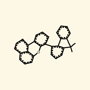 CC1(C)c2ccccc2-c2c(-c3cccc4c3Oc3cccc5cccc-4c35)cccc21